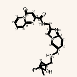 C[C@H]1C2(F)CC1(CNCc1ccc3nc(CNC(=O)c4cc(=O)n5ccccc5n4)cn3c1)C2